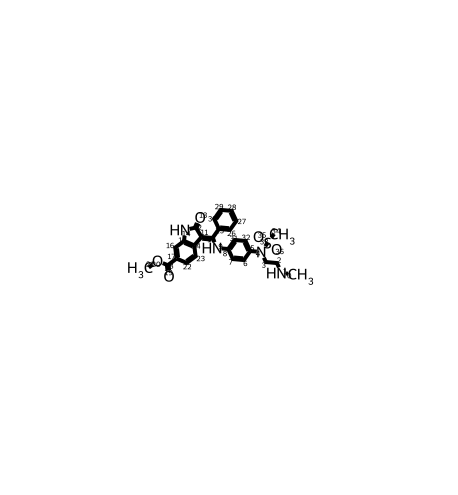 CNCCN(c1ccc(NC(=C2C(=O)Nc3cc(C(=O)OC)ccc32)c2ccccc2)cc1)S(C)(=O)=O